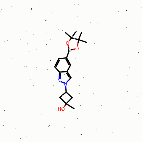 CC1(O)CC(n2cc3cc(B4OC(C)(C)C(C)(C)O4)ccc3n2)C1